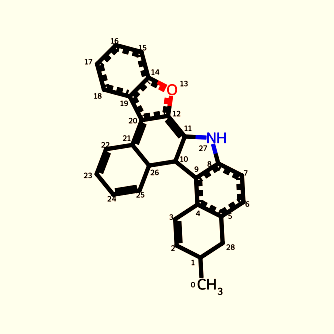 CC1C=Cc2c(ccc3c2C2C(=c4oc5ccccc5c4=C4C=CC=CC42)N3)C1